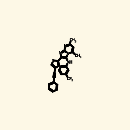 Cc1cc(C)n2c(Nc3cccc(C(F)(F)F)c3)c(-c3cc(C#Cc4ccccc4)cs3)nc2n1